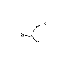 [Br][Au]([Br])[Br].[K]